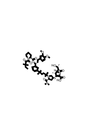 CCC(C)(C)C(=O)C(=O)N1CCCC[C@H]1C(=O)O[C@H](CCc1ccc(OC)c(OC)c1)c1cccc(C(C)(C)CCC(C)(C)N2C[C@@H](SC3=C(C(=O)O)N4C(=O)[C@H]([C@@H](C)O)[C@H]4[C@H]3C)C[C@H]2C(=O)N(C)C)c1